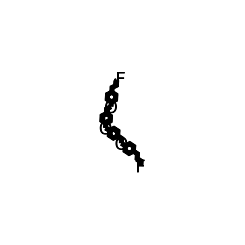 FC=CCC1CCC(OC=C2C=CC(OC3=CCC(=COC4CCC(CC=CF)CC4)C=C3)=CC2)CC1